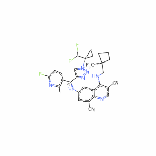 Cc1nc(F)ccc1[C@H](Nc1cc(C#N)c2ncc(C#N)c(NCC3(C(F)(F)F)CCC3)c2c1)c1cn(C2(C(F)F)CC2)nn1